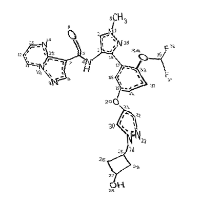 Cn1cc(NC(=O)c2cnn3cccnc23)c(-c2cc(Oc3cnn(C4CC(O)C4)c3)ccc2OC(F)F)n1